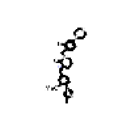 COc1cc(/C=C2\CCCN(Cc3ccc(N4CCOCC4)cc3F)C2=O)ccc1-n1cnc(C)c1